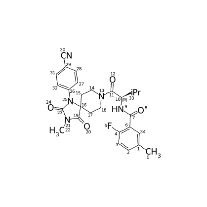 Cc1ccc(F)c(C(=O)N[C@@H](C(=O)N2CCC3(CC2)C(=O)N(C)C(=O)N3c2ccc(C#N)cc2)C(C)C)c1